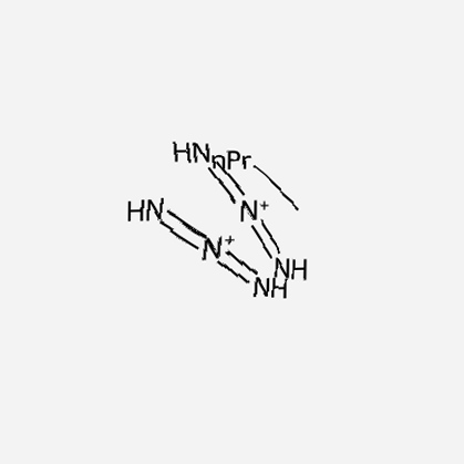 CCCC.N=[N+]=N.N=[N+]=N